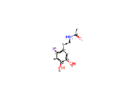 CC(=O)NCCc1cc(O)c(O)cc1I